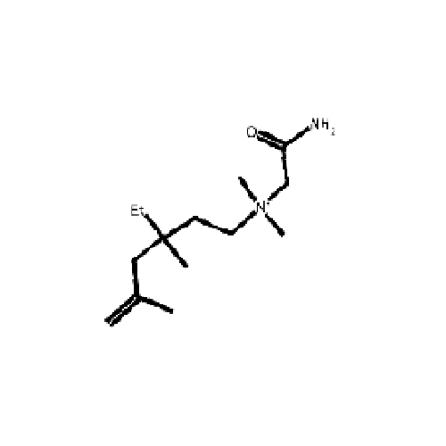 C=C(C)CC(C)(CC)CC[N+](C)(C)CC(N)=O